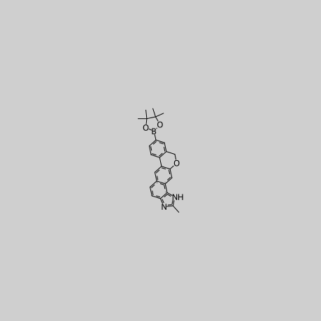 Cc1nc2ccc3cc4c(cc3c2[nH]1)OCc1cc(B2OC(C)(C)C(C)(C)O2)ccc1-4